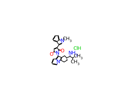 CC(C)[C@H](N)[C@H]1CCc2c(c(N3C(=O)C=C(c4cn(C)c5ccccc45)C3=O)c3ccccn23)C1.Cl